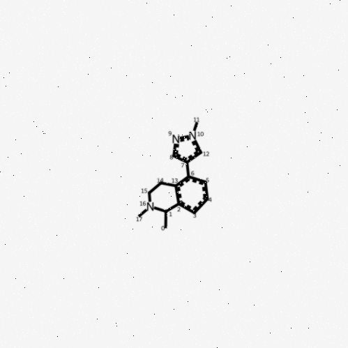 CC1c2cccc(-c3cnn(C)c3)c2CCN1C